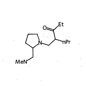 CCCC(CN1CCCC1CNC)C(=O)CC